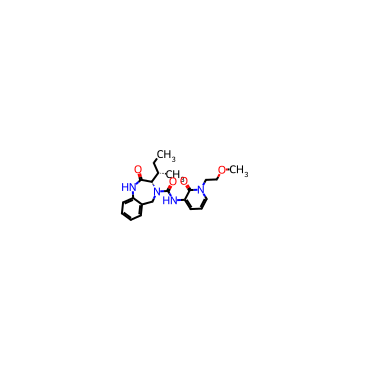 CC[C@H](C)[C@H]1C(=O)Nc2ccccc2CN1C(=O)Nc1cccn(CCOC)c1=O